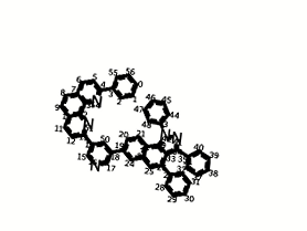 c1ccc(-c2ccc3ccc4ccc(-c5cncc(-c6ccc7c(c6)cc(-c6ccccc6)c6c(-c8ccccc8)nn(-c8ccccc8)c67)c5)nc4c3n2)cc1